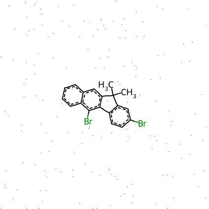 CC1(C)c2cc(Br)ccc2-c2c1cc1ccccc1c2Br